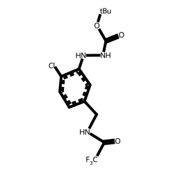 CC(C)(C)OC(=O)NNc1cc(CNC(=O)C(F)(F)F)ccc1Cl